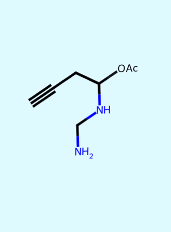 C#CCC(NCN)OC(C)=O